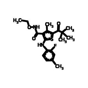 CCONC(=O)c1c(Nc2ccc(C)cc2F)sc(C(=O)C(C)(C)C)c1C